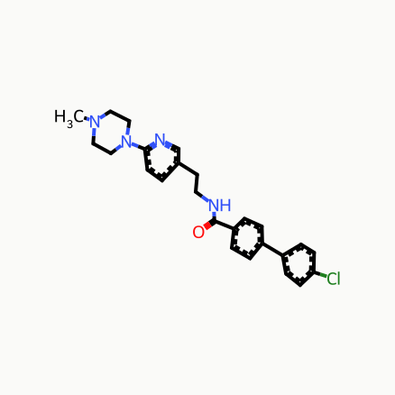 CN1CCN(c2ccc(CCNC(=O)c3ccc(-c4ccc(Cl)cc4)cc3)cn2)CC1